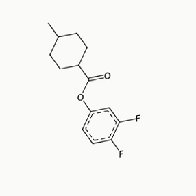 CC1CCC(C(=O)Oc2ccc(F)c(F)c2)CC1